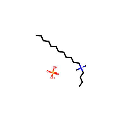 CCCCCCCCCCCC[N+](C)(C)CCCC.O=P([O-])(O)O